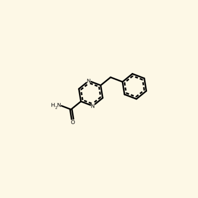 NC(=O)c1cnc(Cc2ccccc2)cn1